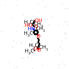 CCOC(=O)C(C)(C)CCCCOc1cc(C)c(NC(=O)C(O)C(C)(C)CO)c(C)c1